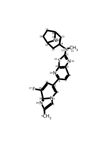 Cc1cn2cc(-c3ccc4nc(N(C)C5CC6CCC(C5)N6)sc4n3)cc(F)c2n1